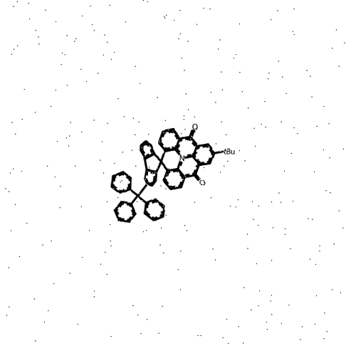 CC(C)(C)c1cc2c(=O)c3cccc4c3n3c5c(cccc5c(=O)c(c1)c23)C41c2ccccc2-c2cc(C(c3ccccc3)(c3ccccc3)c3ccccc3)ccc21